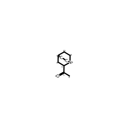 CC(=O)C1CC2CCN1CC2